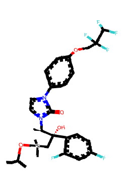 CC(C)O[Si](C)(C)C[C@](O)(c1ccc(F)cc1F)[C@@H](C)n1ccn(-c2ccc(OCC(F)(F)C(F)F)cc2)c1=O